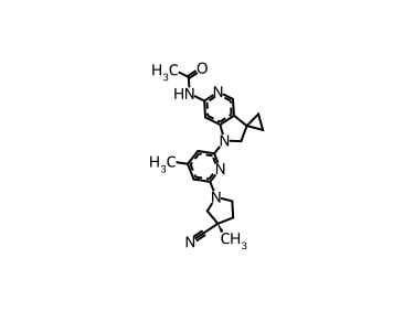 CC(=O)Nc1cc2c(cn1)C1(CC1)CN2c1cc(C)cc(N2CC[C@](C)(C#N)C2)n1